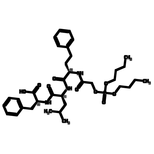 CCCCOP(=O)(OCCCC)OCC(=O)N[C@@H](CCc1ccccc1)C(=O)N[C@@H](CC(C)C)C(=O)N[C@@H](Cc1ccccc1)C(=O)O